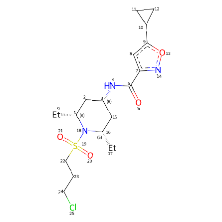 CC[C@@H]1C[C@H](NC(=O)c2cc(C3CC3)on2)C[C@H](CC)N1S(=O)(=O)CCCCl